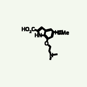 COc1cc(OCCN(C)C)c2[nH]c(C(=O)O)cc2c1.Cl